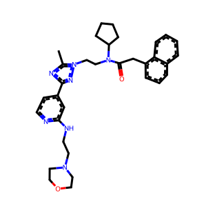 Cc1nc(-c2ccnc(NCCN3CCOCC3)c2)nn1CCN(C(=O)Cc1cccc2ccccc12)C1CCCC1